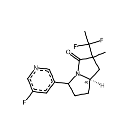 CC(F)(F)C1(C)C[C@H]2CCC(c3cncc(F)c3)N2C1=O